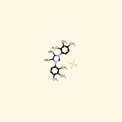 CCCCC1C(CCCC)[N+](c2ccc(C)c(C)c2C)=CN1c1ccc(C)c(C)c1C.F[B-](F)(F)F